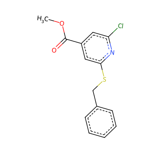 COC(=O)c1cc(Cl)nc(SCc2ccccc2)c1